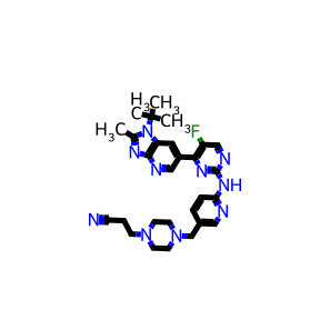 Cc1nc2ncc(-c3nc(Nc4ccc(CN5CCN(CCC#N)CC5)cn4)ncc3F)cc2n1C(C)(C)C